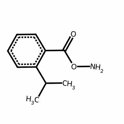 CC(C)c1ccccc1C(=O)ON